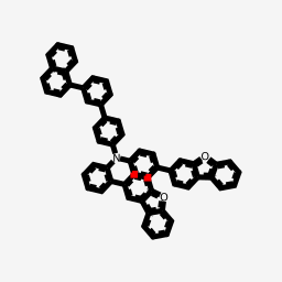 c1cc(-c2ccc(N(c3ccc(-c4ccc5c(c4)oc4ccccc45)cc3)c3ccccc3-c3ccc4oc5ccccc5c4c3)cc2)cc(-c2cccc3ccccc23)c1